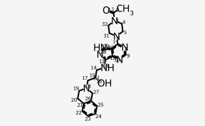 CC(=O)N1CCN(c2ncnc3c(NC[C@H](O)CN4CCc5ccccc5C4)n[nH]c23)CC1